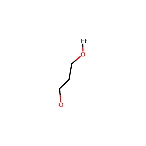 CCOCCC[O]